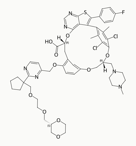 Cc1c(Cl)c2c(Cl)c(C)c1-c1c(-c3ccc(F)cc3)sc3ncnc(c13)O[C@@H](C(=O)O)Cc1cc(ccc1OCc1ccnc(C3(COCCOC[C@H]4COCCO4)CCCC3)n1)OC[C@@H](CN1CCN(C)CC1)O2